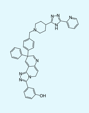 Oc1cccc(-c2nnc3n2CC=C2N=CC(c4ccccc4)(c4ccc(CN5CCC(c6nnc(-c7ccccn7)[nH]6)CC5)cc4)C=C23)c1